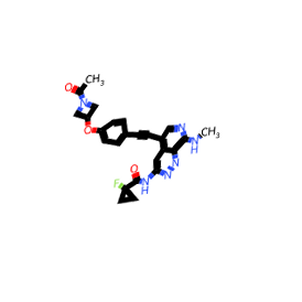 CNc1ncc(C#Cc2ccc(OC3CN(C(C)=O)C3)cc2)c2cc(NC(=O)C3(F)CC3)nnc12